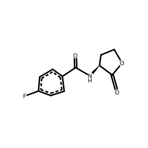 O=C(N[C@H]1CCOC1=O)c1ccc(F)cc1